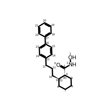 O=C(NO)[C@@H]1CCCC[C@H]1CCCc1ccc(-c2ccccc2)cc1